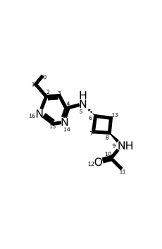 CCc1cc(N[C@H]2C[C@H](NC(C)=O)C2)ncn1